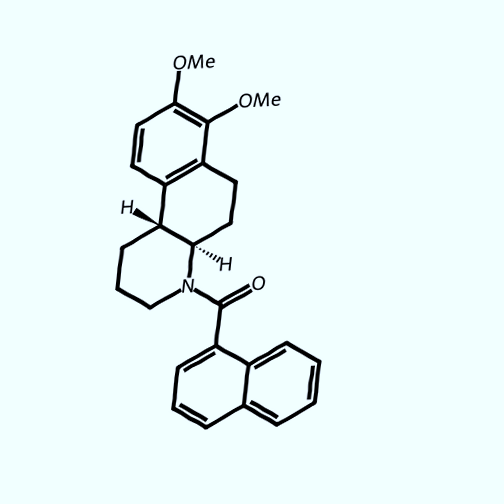 COc1ccc2c(c1OC)CC[C@@H]1[C@@H]2CCCN1C(=O)c1cccc2ccccc12